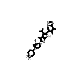 Cc1c(-c2[nH]c3sc([C@@H]4CC5C[C@H]4CN5C4CCS(=O)(=O)CC4)c(C)c3c2C(C)C)cn2ncnc2c1C